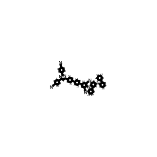 N#Cc1ccc(-c2cc(-c3ccc(-c4ccc(-c5cc(C#N)c(-n6c7ccccc7c7cc(-n8c9ccccc9c9ccccc98)ccc76)c(C#N)c5)cc4)cc3)nc(-c3ccc(C#N)cc3)n2)cc1